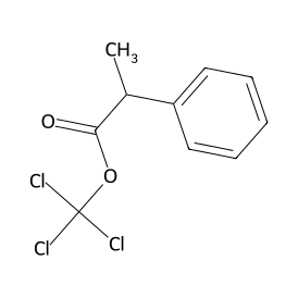 CC(C(=O)OC(Cl)(Cl)Cl)c1ccccc1